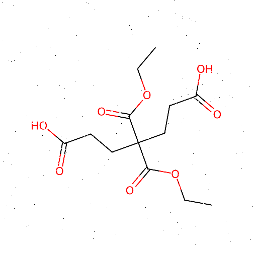 CCOC(=O)C(CCC(=O)O)(CCC(=O)O)C(=O)OCC